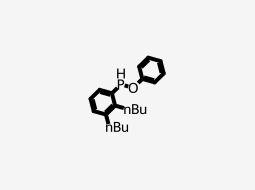 CCCCc1cccc(POc2ccccc2)c1CCCC